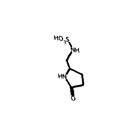 O=C1CCC(CNS(=O)(=O)O)N1